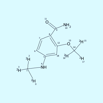 [2H]C([2H])([2H])Nc1ccc(C(N)=O)c(OC([2H])([2H])[2H])c1